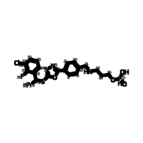 CCCC(Sc1nnc(-c2ccc(CNCCCO[PH](=O)O)cc2)o1)c1cccc(Cl)c1F